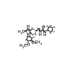 COc1ccc([C@]23CCC(=NNC(=O)Nc4ccccc4)CC2NC(C)C3)cc1OC